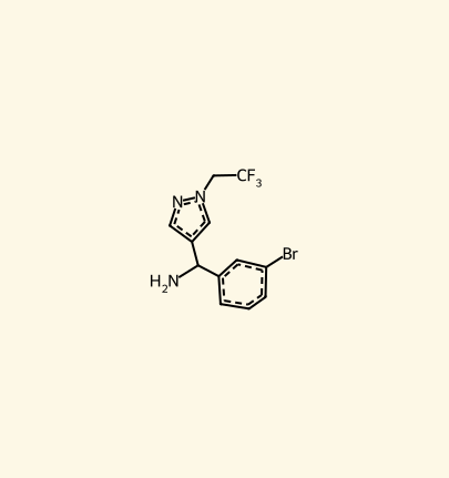 NC(c1cccc(Br)c1)c1cnn(CC(F)(F)F)c1